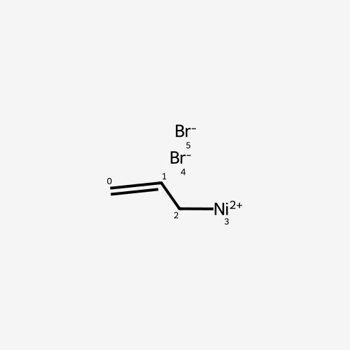 C=C[CH2][Ni+2].[Br-].[Br-]